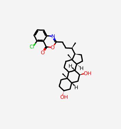 C[C@H](CCc1nc2cccc(Cl)c2c(=O)o1)[C@H]1CC[C@H]2[C@H]3C(CC[C@]12C)[C@@]1(C)CC[C@@H](O)C[C@H]1C[C@@H]3O